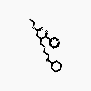 CCOC(=O)CC(CSCCNC1CCCCC1)C(=O)c1cccnc1